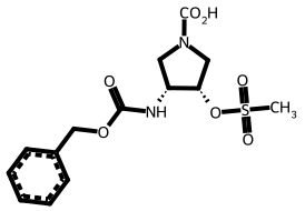 CS(=O)(=O)O[C@H]1CN(C(=O)O)C[C@H]1NC(=O)OCc1ccccc1